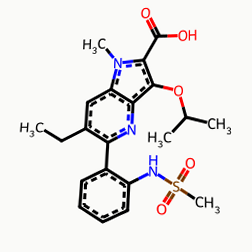 CCc1cc2c(nc1-c1ccccc1NS(C)(=O)=O)c(OC(C)C)c(C(=O)O)n2C